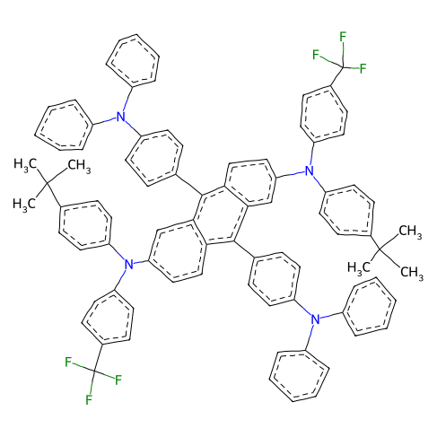 CC(C)(C)c1ccc(N(c2ccc(C(F)(F)F)cc2)c2ccc3c(-c4ccc(N(c5ccccc5)c5ccccc5)cc4)c4cc(N(c5ccc(C(C)(C)C)cc5)c5ccc(C(F)(F)F)cc5)ccc4c(-c4ccc(N(c5ccccc5)c5ccccc5)cc4)c3c2)cc1